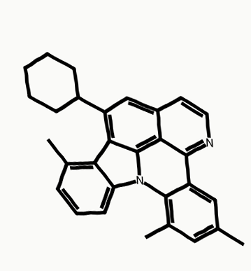 Cc1cc(C)c2c(c1)c1nccc3cc(C4CCCCC4)c4c5c(C)cccc5n2c4c31